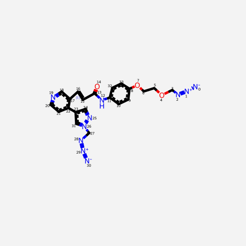 [N-]=[N+]=NCOCCOc1ccc(NC(=O)/C=C/c2cnccc2-c2cnn(CN=[N+]=[N-])c2)cc1